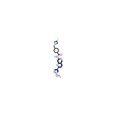 Cn1cc(-c2ccc3cnc(NC(=O)C4CCC(CN5CC(F)C5)CC4)cc3n2)cn1